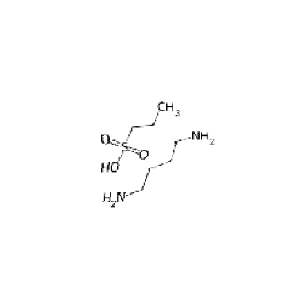 CCCS(=O)(=O)O.NCCCCN